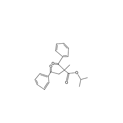 CC(C)OC(=O)C(C)(CC(=O)c1ccccc1)C(=O)c1ccccc1